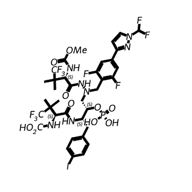 COC(=O)N[C@H](C(=O)NN(Cc1c(F)cc(-c2ccn(C(F)F)n2)cc1F)C[C@H](OP(=O)(O)O)[C@H](Cc1ccc(I)cc1)NC(=O)[C@@H](NC(=O)O)C(C)(C)C(F)(F)F)C(C)(C)C(F)(F)F